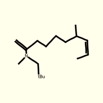 C=C(CCCCC(C)/C=C\C)N(C)CC(C)(C)C